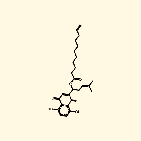 C=CCCCCCCCCC(=O)OC(CC=C(C)C)C1=CC(=O)c2c(O)ccc(O)c2C1=O